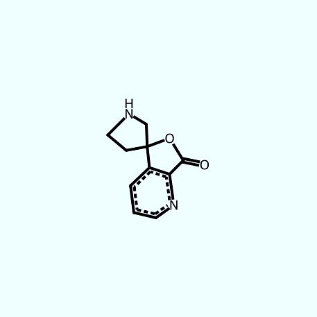 O=C1OC2(CCNC2)c2cccnc21